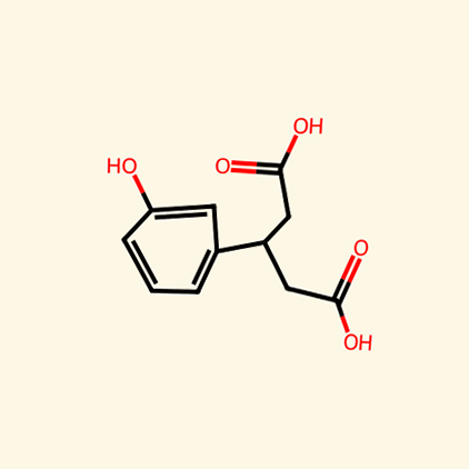 O=C(O)CC(CC(=O)O)c1cccc(O)c1